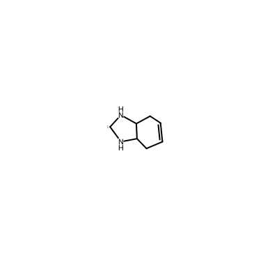 [C]1NC2CC=CCC2N1